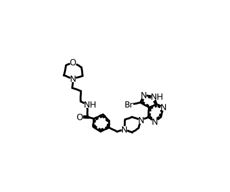 O=C(NCCCN1CCOCC1)c1ccc(CN2CCN(c3ncnc4[nH]nc(Br)c34)CC2)cc1